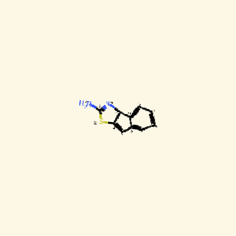 NC1=NC2C(=Cc3ccccc32)S1